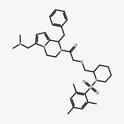 Cc1cc(C)c(S(=O)(=O)N2CCCCC2COCC(=O)N2CCn3c(CN(C)C)ccc3C2Cc2ccccc2)c(C)c1